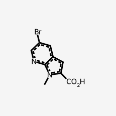 Cn1c(C(=O)O)cc2cc(Br)cnc21